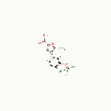 Cc1oc(C(=O)O)cc1-c1cccc(OC(F)(F)F)c1